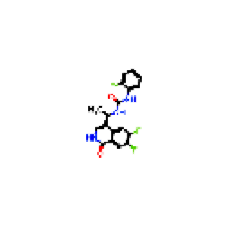 CC(NC(=O)Nc1ccccc1F)c1c[nH]c(=O)c2cc(F)c(F)cc12